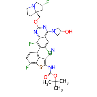 CC(C)(C)OC(=O)Nc1sc2c(F)ccc(-c3c(Cl)cc4c(N5CC(O)C5)nc(OC[C@@]56CCCN5C[C@H](F)C6)nc4c3F)c2c1C#N